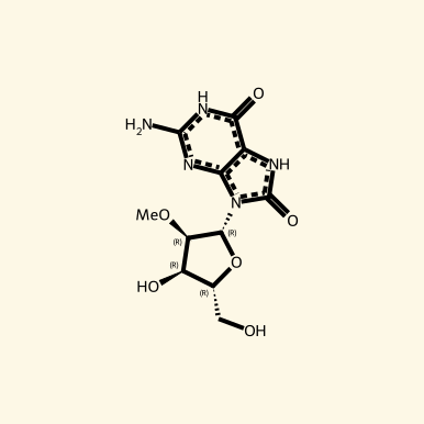 CO[C@@H]1[C@H](O)[C@@H](CO)O[C@H]1n1c(=O)[nH]c2c(=O)[nH]c(N)nc21